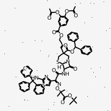 CC(=O)Oc1ccc(C(=O)OCC=CC2(C(=O)OC(c3ccccc3)c3ccccc3)CS[C@@H]3C(NC(=O)C(=NOC(C)(C)C(=O)OC(C)(C)C)c4csc(NC(c5ccccc5)(c5ccccc5)c5ccccc5)n4)C(=O)N3C2)cc1OC(C)=O